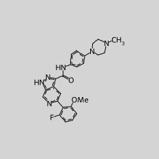 COc1cccc(F)c1-c1cc2c(C(=O)Nc3ccc(N4CCN(C)CC4)cc3)n[nH]c2cn1